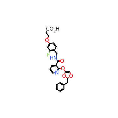 O=C(O)CCOc1ccc(CNC(=O)c2cccnc2OC2=COC(Cc3ccccc3)O2)c(F)c1